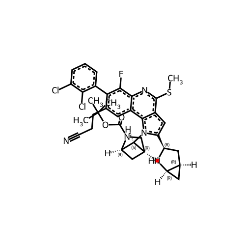 CSc1nc2c(F)c(-c3cccc(Cl)c3Cl)c(CCC#N)cc2c2c1cc([C@H]1C[C@H]3C[C@H]3N1)n2[C@H]1[C@@H]2C[C@H]1N(C(=O)OC(C)(C)C)C2